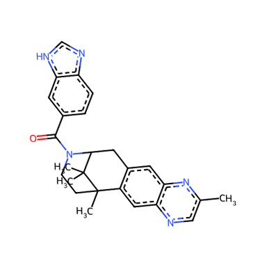 Cc1cnc2cc3c(cc2n1)CC1N(C(=O)c2ccc4nc[nH]c4c2)CCC3(C)C1(C)C